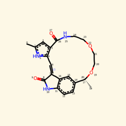 Cc1cc2c([nH]1)/C=C1\C(=O)Nc3ccc(cc31)[C@@H](C)OCCOCCNC2=O